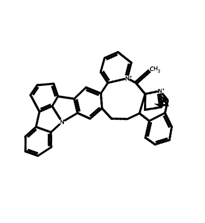 C=C1[n+]2ccccc2-c2cc3c4cccc5c6ccccc6n(c3cc2CCC2c3ccccc3-c3cccc6[n+]3C12C6)c54